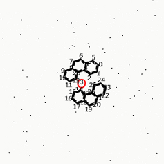 c1ccc2c(c1)ccc1cccc(Oc3cccc4ccc5ccccc5c34)c12